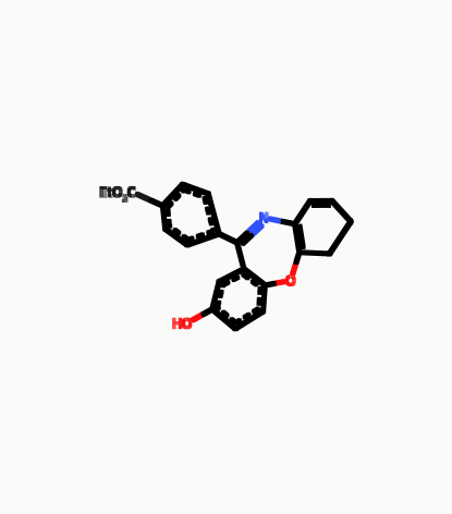 CCOC(=O)c1ccc(C2=NC3=C(CCC=C3)Oc3ccc(O)cc32)cc1